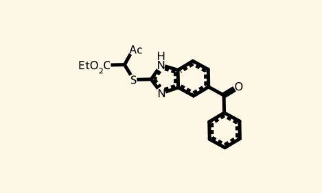 CCOC(=O)C(Sc1nc2cc(C(=O)c3ccccc3)ccc2[nH]1)C(C)=O